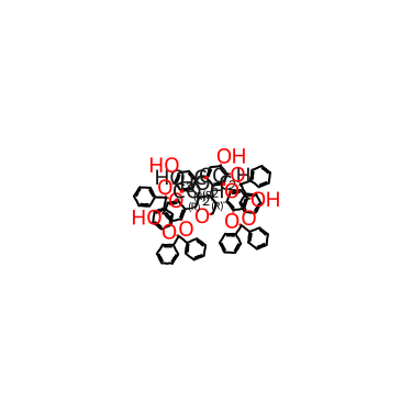 O=C(O)c1cc(O)c2c(c1[C@@H]1[C@H](c3c(C(=O)O)cc(O)c4c3OC(c3ccccc3)(c3ccccc3)O4)[C@H](c3c(C(=O)O)cc(O)c4c3OC(c3ccccc3)(c3ccccc3)O4)OC[C@H]1c1c(C(=O)O)cc(O)c3c1OC(c1ccccc1)(c1ccccc1)O3)OC(c1ccccc1)(c1ccccc1)O2